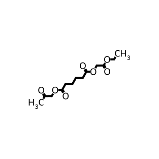 CCOC(=O)COC(=O)CCCCC(=O)OCC(C)=O